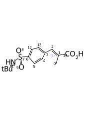 C/C(=C\c1ccc(S(=O)(=O)NC(C)(C)C)cc1)C(=O)O